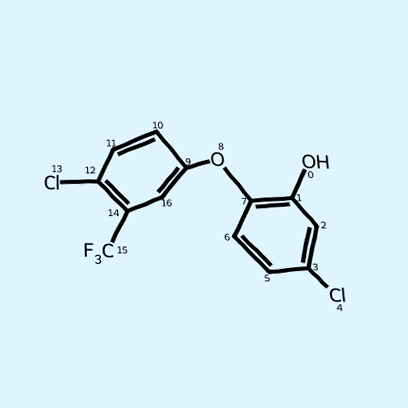 Oc1cc(Cl)ccc1Oc1ccc(Cl)c(C(F)(F)F)c1